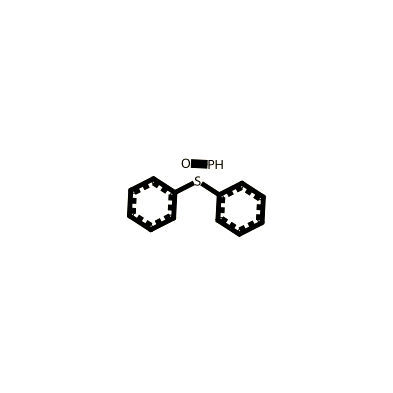 O=P.c1ccc(Sc2ccccc2)cc1